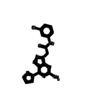 Nc1nc(-c2ccco2)c2nnn(CC(=O)Nc3cccc(Cl)c3)c2n1